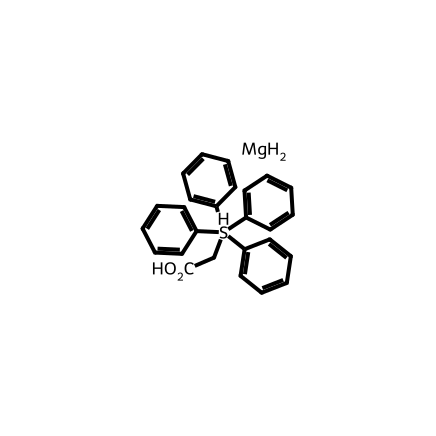 O=C(O)C[SH](c1ccccc1)(c1ccccc1)(c1ccccc1)c1ccccc1.[MgH2]